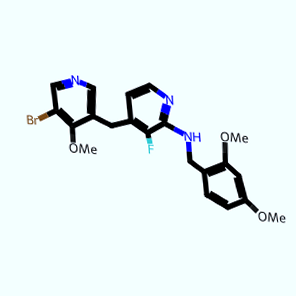 COc1ccc(CNc2nccc(Cc3cncc(Br)c3OC)c2F)c(OC)c1